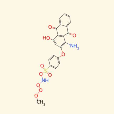 COOONOS(=O)(=O)c1ccc(Oc2cc(O)c3c(c2N)C(=O)c2ccccc2C3=O)cc1